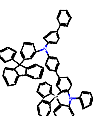 c1ccc(-c2ccc(N(c3ccc(-c4ccc5c(c4)[Si](c4ccccc4)(c4ccccc4)c4ccccc4N5c4ccccc4)cc3)c3cccc(C4(c5ccccc5)c5ccccc5-c5ccccc54)c3)cc2)cc1